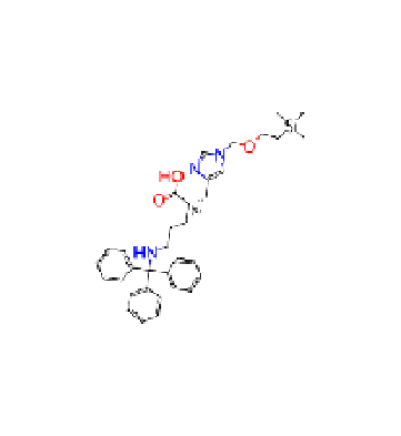 C[Si](C)(C)CCOCn1cnc(C[C@H](CCCNC(c2ccccc2)(c2ccccc2)c2ccccc2)C(=O)O)c1